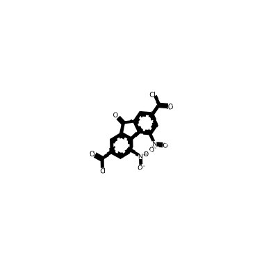 O=C(Cl)c1cc2c(c([N+](=O)[O-])c1)-c1c(cc(C(=O)Cl)cc1[N+](=O)[O-])C2=O